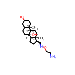 C[C@]12CCC(O)CC1CC[C@@H]1[C@H]2CC[C@]2(C)C(/C=N/OCCN)CC[C@@]12O